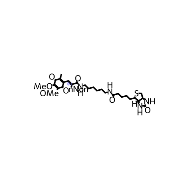 CCCCCCCCC/C(=C\C1=C(C)C(=O)C(OC)=C(OC)C1=O)C(=O)NCCCCCCNC(=O)CCCCC1SCC2NC(=O)N[C@@H]21